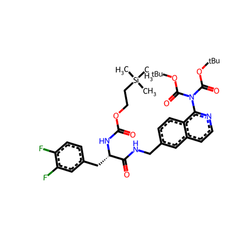 CC(C)(C)OC(=O)N(C(=O)OC(C)(C)C)c1nccc2cc(CNC(=O)[C@H](Cc3ccc(F)c(F)c3)NC(=O)OCC[Si](C)(C)C)ccc12